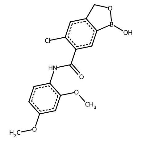 COc1ccc(NC(=O)c2cc3c(cc2Cl)COB3O)c(OC)c1